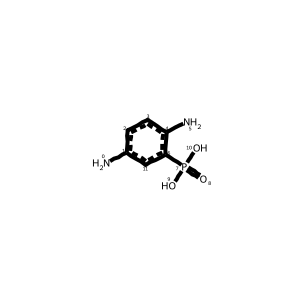 Nc1ccc(N)c(P(=O)(O)O)c1